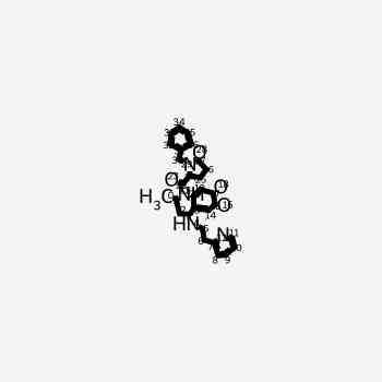 CC(CC(NCCc1ccccn1)C1=CC(=O)C(=O)C=C1)NC(=O)C1CCC(=O)N1Cc1ccccc1